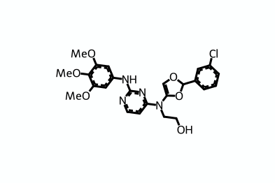 COc1cc(Nc2nccc(N(CCO)C3=COC(c4cccc(Cl)c4)O3)n2)cc(OC)c1OC